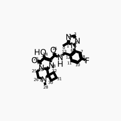 Cc1ncnn1-c1cc(F)ccc1CNC(=O)c1nc2n(c(=O)c1O)CCN(C)C21CCC1